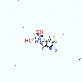 Cc1cscc1-c1cc(N(CCO)CCO)ccc1N